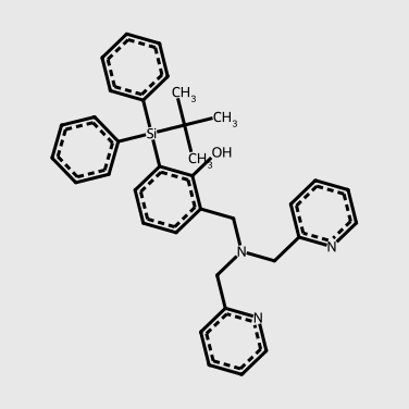 CC(C)(C)[Si](c1ccccc1)(c1ccccc1)c1cccc(CN(Cc2ccccn2)Cc2ccccn2)c1O